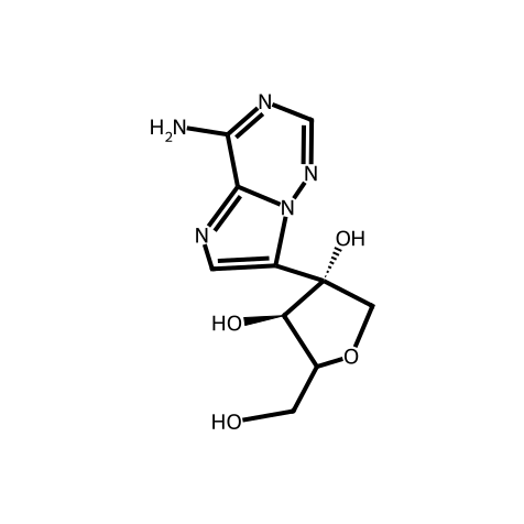 Nc1ncnn2c([C@@]3(O)COC(CO)[C@H]3O)cnc12